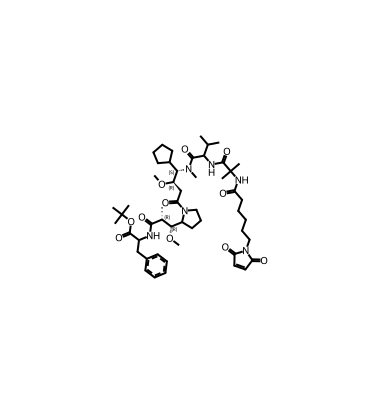 CO[C@H](CC(=O)N1CCCC1[C@H](OC)[C@@H](C)C(=O)NC(Cc1ccccc1)C(=O)OC(C)(C)C)[C@H](C1CCCC1)N(C)C(=O)C(NC(=O)C(C)(C)NC(=O)CCCCCN1C(=O)C=CC1=O)C(C)C